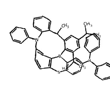 CC(C)c1cc(C(C)C)c2c(c1)C(C)c1ccccc1N(c1ccccc1)c1ccc3c(c1)B2c1cc(N(c2ccccc2)c2ccccc2)ccc1S3